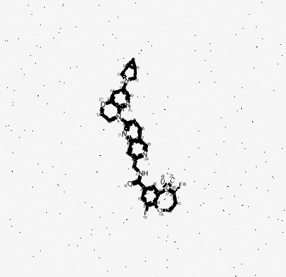 O=C(NCc1cc2nc(N3CCOc4cc(N5CC6CC6C5)cnc43)ccc2cn1)c1cc(F)c2c(c1)S(=O)(=O)[C@@H](F)CCO2